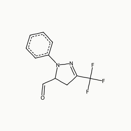 O=CC1CC(C(F)(F)F)=NN1c1ccccc1